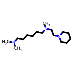 CN(C)CCCCCCN(C)CCN1CCCCC1